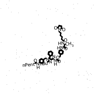 CCCCCC(=O)Nc1ccc(Cn2c(CCCC)nc3c(NC(=O)OCc4ccc(NC(=O)C(C)NC(=O)CCCCCN5C(=O)C=CC5=O)cc4)nc4ccccc4c32)cc1